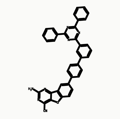 N#Cc1nc(N)nc2c1oc1ccc(-c3ccc(-c4cccc(-c5nc(-c6ccccc6)nc(-c6ccccc6)n5)c4)cc3)cc12